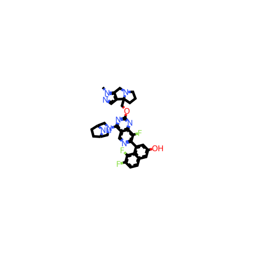 Cn1ncc2c1CN1CCCC21COc1nc(N2CC3CCC(C2)N3)c2cnc(-c3cc(O)cc4ccc(F)c(F)c34)c(F)c2n1